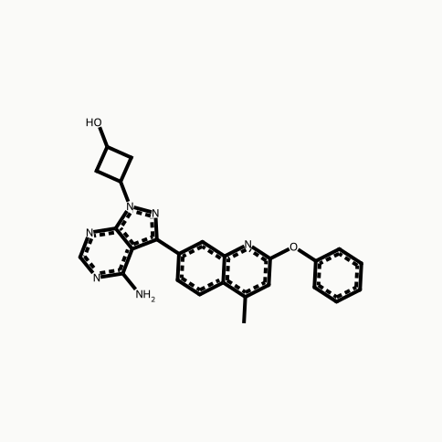 Cc1cc(Oc2ccccc2)nc2cc(-c3nn(C4CC(O)C4)c4ncnc(N)c34)ccc12